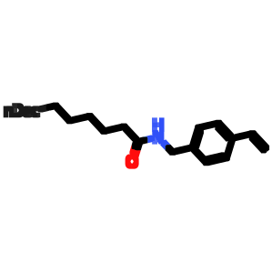 C=Cc1ccc(CNC(=O)CCCCCCCCCCCCCCC)cc1